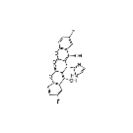 O=c1oc2ccc(F)cc2c(O)c1C(c1ncc[nH]1)c1c(O)c2cc(F)ccc2oc1=O